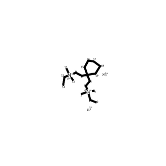 CC[N+](C)(C)CCC1(CC[N+](C)(C)CC)CCCCC1.[I-].[I-]